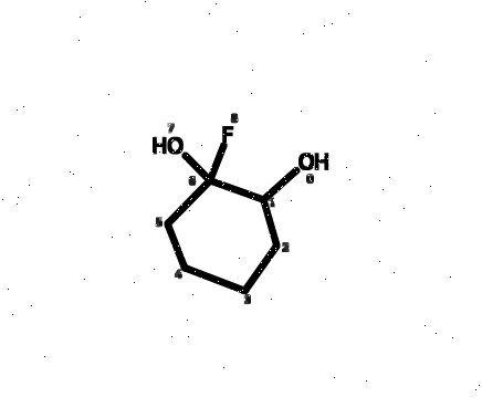 OC1CCCCC1(O)F